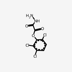 NNC(=O)C(=O)Oc1c(Cl)ccc(Cl)c1Cl